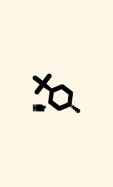 Br.CC(C)(C)[C@H]1CC[C@H](C)CC1